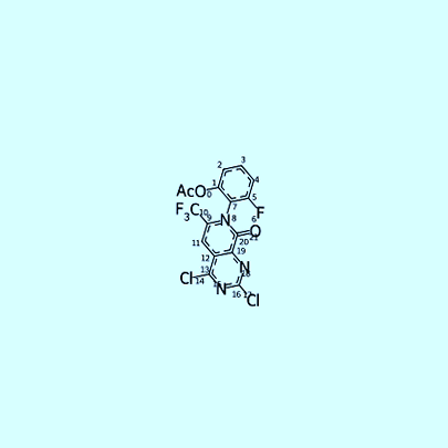 CC(=O)Oc1cccc(F)c1-n1c(C(F)(F)F)cc2c(Cl)nc(Cl)nc2c1=O